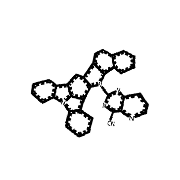 N#Cc1nc(-n2c3c4ccccc4ccc3c3cc4c5ccccc5n5c6ccccc6c(c32)c45)nc2cccnc12